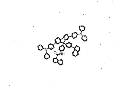 O=C(Nc1ccc(C2(c3ccc(-c4cccc5ccccc45)cc3)c3cc(-c4ccc(N(c5ccccc5)c5ccccc5)cc4)ccc3-c3ccc(-c4ccc(N(c5ccccc5)c5ccccc5)cc4)cc32)cc1)c1cccc2ccccc12